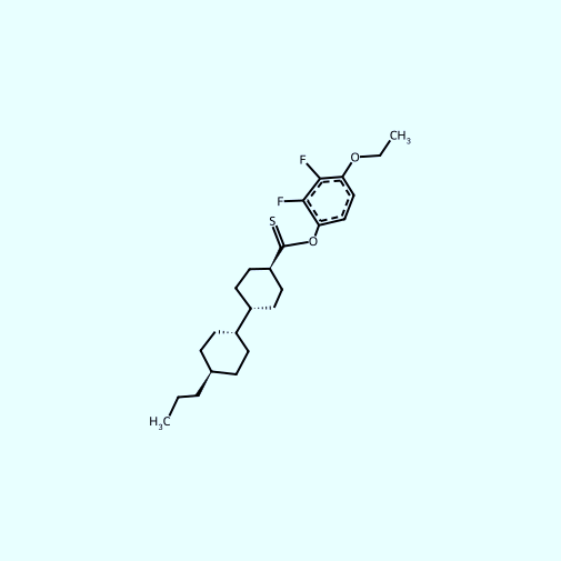 CCC[C@H]1CC[C@H]([C@H]2CC[C@H](C(=S)Oc3ccc(OCC)c(F)c3F)CC2)CC1